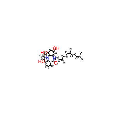 [2H]C([2H])([2H])N1c2c(O)cccc2C(=O)N(CC=C(C)CCC=C(C)CCC=C(C)C)c2cc(O)cc(O)c21